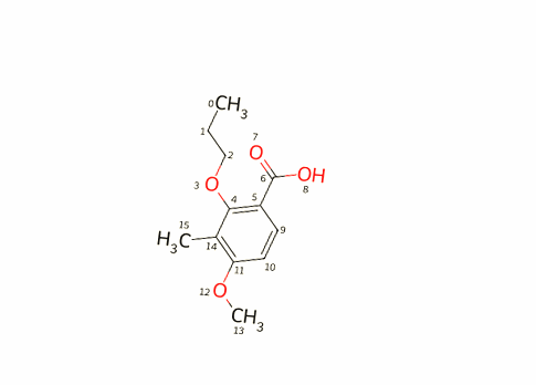 CCCOc1c(C(=O)O)ccc(OC)c1C